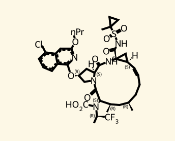 CCCOc1cc2c(Cl)cccc2c(O[C@@H]2C[C@H]3C(=O)N[C@]4(C(=O)NS(=O)(=O)C5(C)CC5)C[C@H]4C=CCC[C@@H](C)C[C@@H](C)[C@H](N(C(=O)O)[C@H](C)C(F)(F)F)C(=O)N3C2)n1